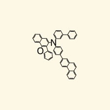 c1ccc(-c2cccc(N(c3ccc(-c4ccc5c(ccc6ccccc65)c4)cc3)c3cc4ccccc4c4oc5ccccc5c34)c2)cc1